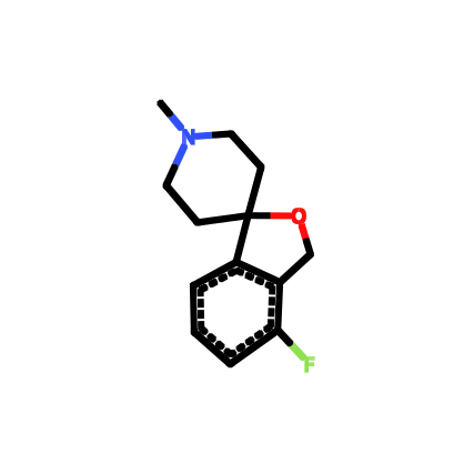 CN1CCC2(CC1)OCc1c(F)cccc12